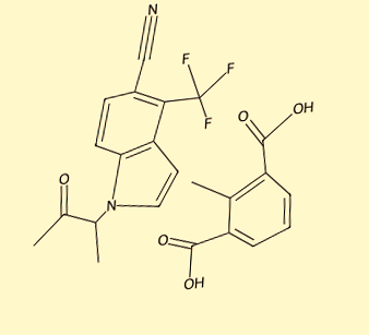 CC(=O)C(C)n1ccc2c(C(F)(F)F)c(C#N)ccc21.Cc1c(C(=O)O)cccc1C(=O)O